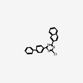 CCc1nc(-c2ccc(-c3ccccc3)cc2)nc(-c2ccc3ccccc3c2)n1